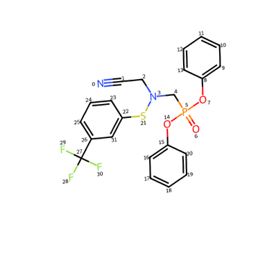 N#CCN(CP(=O)(Oc1ccccc1)Oc1ccccc1)Sc1cccc(C(F)(F)F)c1